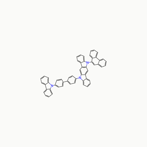 c1ccc2c(c1)cc(-n1c3ccccc3c3cc4c(cc31)c1ccccc1n4-c1ccc(-c3ccc(-n4c5ccccc5c5ccccc54)cc3)cc1)c1ccccc12